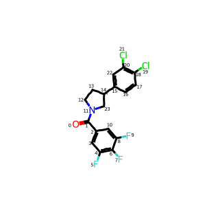 O=C(c1cc(F)c(F)c(F)c1)N1CC[C](c2ccc(Cl)c(Cl)c2)C1